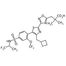 CC(NS(=O)(=O)c1ccc(-c2sc(-c3noc(CC(C)(C)C(=O)O)n3)nc2CC2CCC2)c(OC(F)(F)F)c1)C(F)(F)F